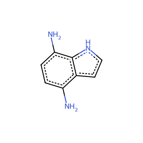 Nc1ccc(N)c2[nH]ccc12